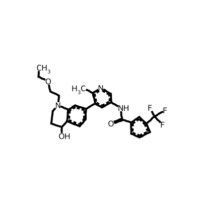 CCOCCN1CCC(O)c2ccc(-c3cc(NC(=O)c4cccc(C(F)(F)F)c4)cnc3C)cc21